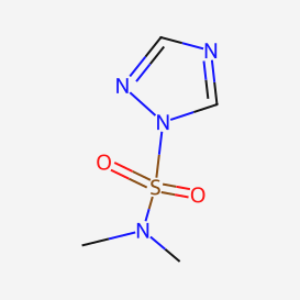 CN(C)S(=O)(=O)n1cncn1